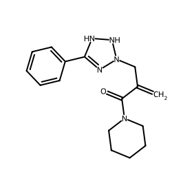 C=C(CN1N=C(c2ccccc2)NN1)C(=O)N1CCCCC1